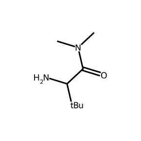 CN(C)C(=O)C(N)C(C)(C)C